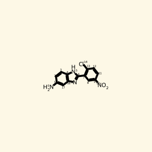 Nc1ccc2[nH]c(-c3cc([N+](=O)[O-])ccc3Cl)nc2c1